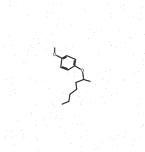 [CH2]C(CCCCC)Oc1ccc(OC)cc1